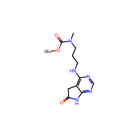 CN(CCCNc1ncnc2c1CC(=O)N2)C(=O)OC(C)(C)C